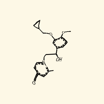 COc1ccc(C(O)Cn2ccc(=O)cc2C)cc1OCC1CC1